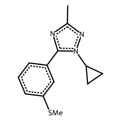 CSc1cccc(-c2nc(C)nn2C2CC2)c1